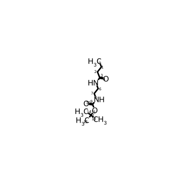 CCCC(=O)NCCNC(=O)OC(C)(C)C